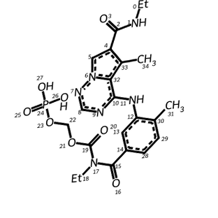 CCNC(=O)c1cn2ncnc(Nc3cc(C(=O)N(CC)C(=O)OCOP(=O)(O)O)ccc3C)c2c1C